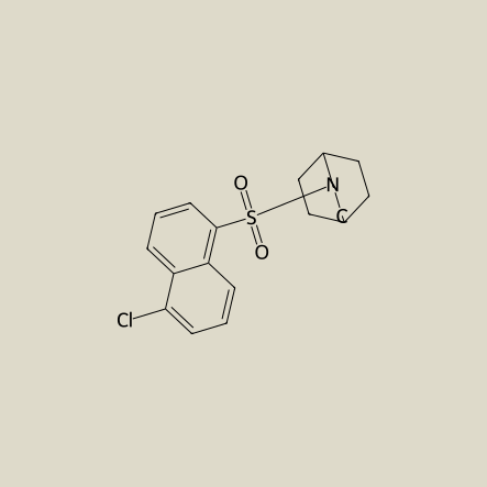 O=S(=O)(c1cccc2c(Cl)cccc12)N1CC2CCC(CC2)C1